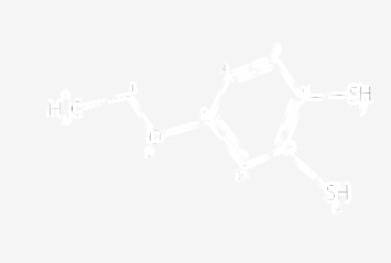 CCOc1ccc(S)c(S)c1